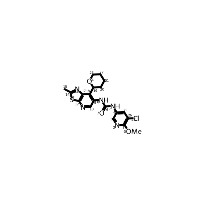 COc1ncc(NC(=O)Nc2cnc3sc(C)nc3c2C2CCCCO2)cc1Cl